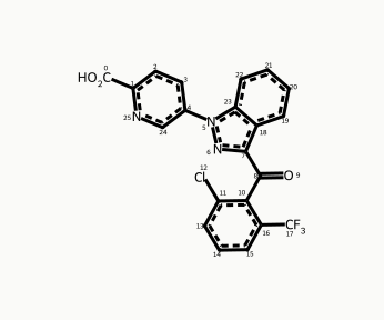 O=C(O)c1ccc(-n2nc(C(=O)c3c(Cl)cccc3C(F)(F)F)c3ccccc32)cn1